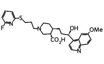 COc1ccc2nccc([C@H](O)CC[C@@H]3CCN(CCCSc4cccc(F)n4)C[C@@H]3C(=O)O)c2c1